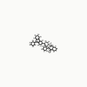 CC1(c2nc3ccccc3c(=O)n2-c2ccccc2)C=CC(c2ccc3c(c2)c2ccccc2n3-c2ccccc2)=CC1